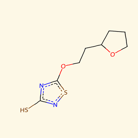 Sc1nsc(OCCC2CCCO2)n1